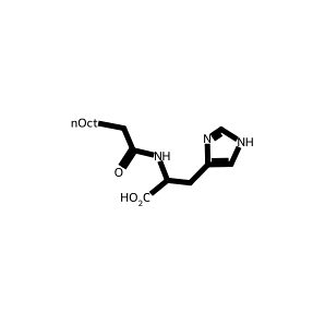 CCCCCCCCCC(=O)NC(Cc1c[nH]cn1)C(=O)O